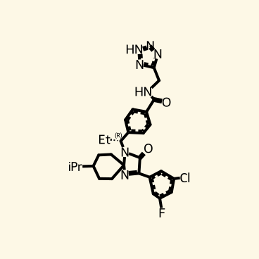 CC[C@H](c1ccc(C(=O)NCc2nn[nH]n2)cc1)N1C(=O)C(c2cc(F)cc(Cl)c2)=NC12CCC(C(C)C)CC2